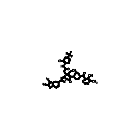 [2H]c1sc2ccc(-c3nc4n(CC(=O)Nc5ccc(C(F)(F)F)cc5Cl)c(CC)c(N5CCN(C(=O)c6ncnc(C)c6O)CC5)c(=O)n4n3)cc2c1[2H]